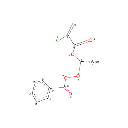 C=C(Cl)C(=O)OC(CCCCCCCCC)OOC(=O)c1ccccc1